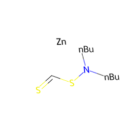 CCCCN(CCCC)SC=S.[Zn]